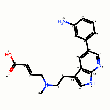 CN(C/C=C/C(=O)O)CCc1c[nH]c2ncc(-c3cccc(N)c3)cc12